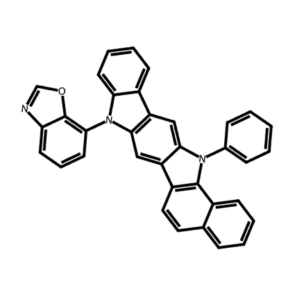 c1ccc(-n2c3cc4c5ccccc5n(-c5cccc6ncoc56)c4cc3c3ccc4ccccc4c32)cc1